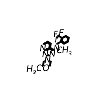 CC1CN(c2nc(N(C)Cc3ccccc3C(F)(F)I)c3cccnc3n2)CCO1